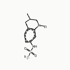 CCN1CC(C)Cc2ccc(NS(=O)(=O)C(F)(F)F)cc21